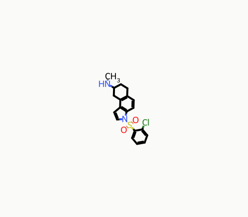 CNC1CCc2ccc3c(ccn3S(=O)(=O)c3ccccc3Cl)c2C1